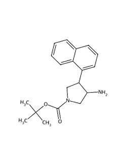 CC(C)(C)OC(=O)N1CC(N)C(c2cccc3ccccc23)C1